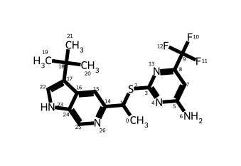 CC(Sc1nc(N)cc(C(F)(F)F)n1)c1cc2c(C(C)(C)C)c[nH]c2cn1